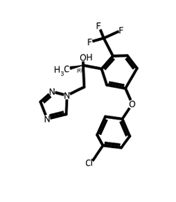 C[C@](O)(Cn1cncn1)c1cc(Oc2ccc(Cl)cc2)ccc1C(F)(F)F